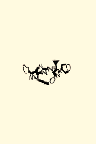 Clc1nn2c3nc(ncc13)Nc1c(nn(C3CCOCC3)c1C1CC1)OCCC2